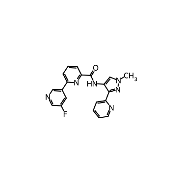 Cn1cc(NC(=O)c2cccc(-c3cncc(F)c3)n2)c(-c2ccccn2)n1